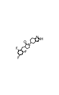 O=C1C(Cc2c(F)cc(F)cc2F)CCN1C1CCc2n[nH]cc2C1